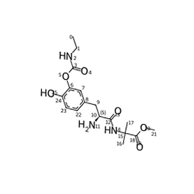 CCNC(=O)Oc1cc(C[C@H](N)C(=O)NC(C)(C)C(=O)OC)ccc1O